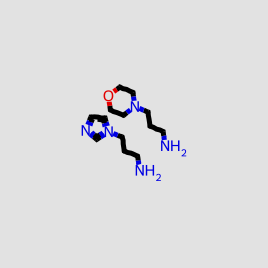 NCCCN1CCOCC1.NCCCn1ccnc1